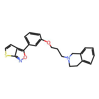 c1cc(OCCCN2CCc3ccccc3C2)cc(-c2onc3sccc23)c1